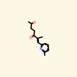 CC(=O)CCC(=O)/C(C)=C/c1cccc(C)n1